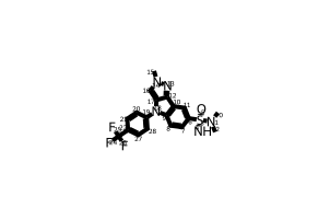 CN(C)S(=N)(=O)c1ccc2c(c1)c1nn(C)cc1n2-c1ccc(C(F)(F)F)cc1